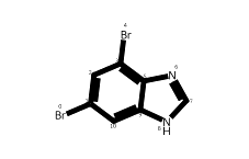 Brc1cc(Br)c2nc[nH]c2c1